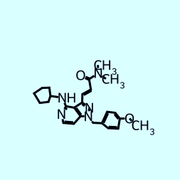 COc1ccc(Cn2nc(/C=C/C(=O)N(C)C)c3c(NC4CCCCC4)nccc32)cc1